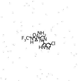 NCN(C1=NC(c2c[nH]c3ncc(Cl)cc23)=NCC1)C1(C(=O)NCC(F)(F)F)CC1